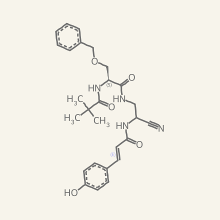 CC(C)(C)C(=O)N[C@@H](COCc1ccccc1)C(=O)NCC(C#N)NC(=O)/C=C/c1ccc(O)cc1